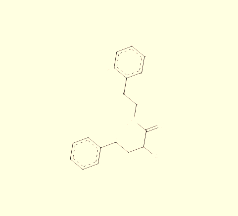 CC(=O)C(CCc1ccccc1)C(=O)OCCc1ccccc1